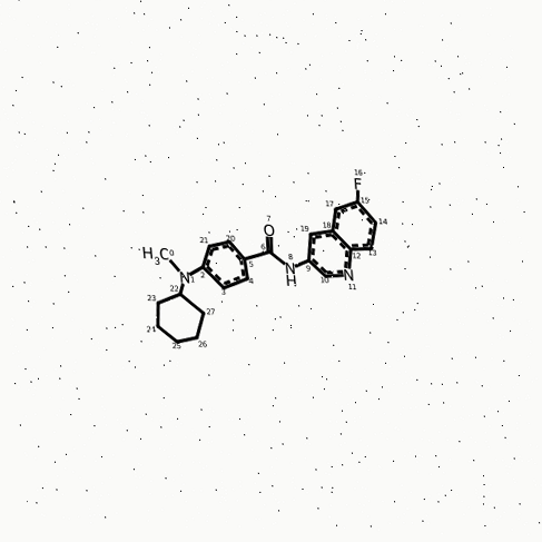 CN(c1ccc(C(=O)Nc2cnc3ccc(F)cc3c2)cc1)C1CCCCC1